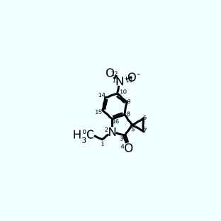 CCN1C(=O)C2(CC2)c2cc([N+](=O)[O-])ccc21